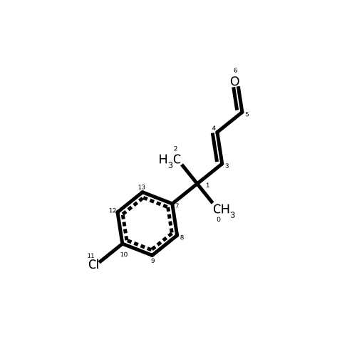 CC(C)(C=CC=O)c1ccc(Cl)cc1